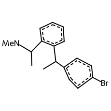 CNC(C)c1ccccc1C(C)c1ccc(Br)cc1